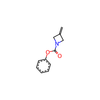 C=C1CN(C(=O)Oc2ccccc2)C1